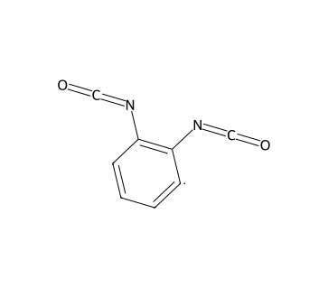 O=C=Nc1[c]cccc1N=C=O